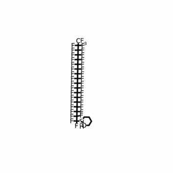 FC(F)(F)C(F)(F)C(F)(F)C(F)(F)C(F)(F)C(F)(F)C(F)(F)C(F)(F)C(F)(F)C(F)(F)C(F)(F)C(F)(F)C(F)(F)C(F)(F)C(F)(F)C(F)(F)C(F)(F)C(F)(F)[SiH]1CCCCO1